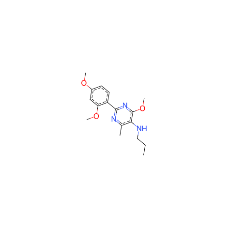 CCCNc1c(C)nc(-c2ccc(OC)cc2OC)nc1OC